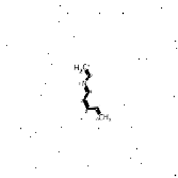 C=C/C=C\C=N\C=C